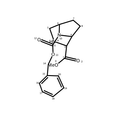 COC(=O)C1NCC2CCC1N2C(=O)OCc1ccccc1